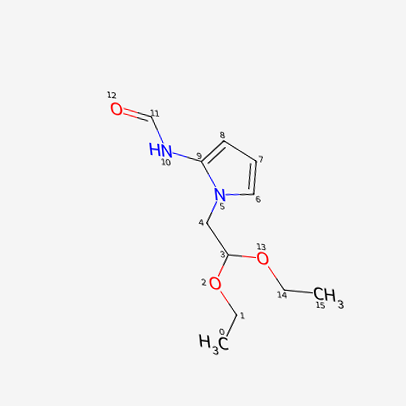 CCOC(Cn1cccc1NC=O)OCC